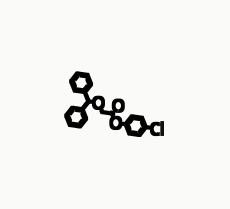 O=C(COC(c1ccccc1)c1ccccc1)Oc1ccc(Cl)cc1